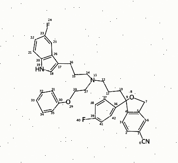 N#Cc1ccc2c(c1)COC2(CCCN(CCCc1c[nH]c2ccc(F)cc12)CCOc1ccccc1)c1ccc(F)cc1